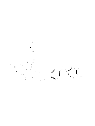 CCC(COCC(COCC(C)O)(COCC(C)O)COCC(C)O)Oc1ccc(Sc2ccc(O)cc2)cc1